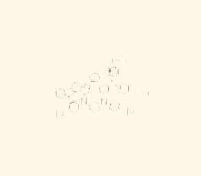 Cc1cc2c3c(c1)N(c1ccc(C(C)(C)C)cc1)c1c(n(-c4ccc(C(C)(C)C)cc4)c4ccc5c6ccccc6sc5c14)B3c1ccc(N(c3ccc(C(C)(C)C)cc3)c3ccc(C(C)(C)C)cc3)cc1N2c1ccc(C(C)(C)C)cc1